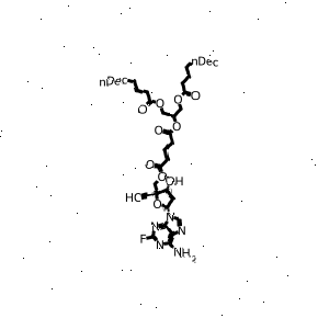 C#C[C@]1(COC(=O)CCCC(=O)OC(COC(=O)CCCCCCCCCCCCC)COC(=O)CCCCCCCCCCCCC)O[C@@H](n2cnc3c(N)nc(F)nc32)C[C@@H]1O